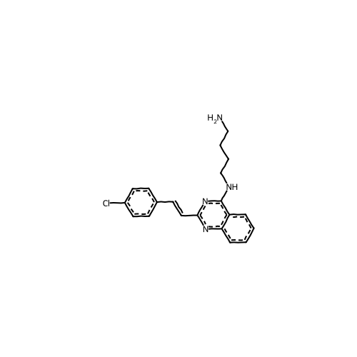 NCCCCNc1nc(/C=C/c2ccc(Cl)cc2)nc2ccccc12